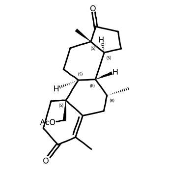 CC(=O)OC[C@]12CCC(=O)C(C)=C1C[C@@H](C)[C@@H]1[C@@H]2CC[C@]2(C)C(=O)CC[C@@H]12